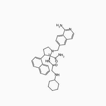 NC(=O)[C@]1(NC(=O)CNC2CCCCC2)C(c2cccc3ccccc23)CCN1Cc1ccc2c(N)nccc2c1